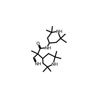 CC1(C)CC(NC(=O)C(C)(C=N)C2CC(C)(C)NC(C)(C)C2)CC(C)(C)N1